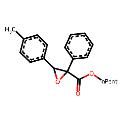 CCCCCOC(=O)C1(c2ccccc2)OC1c1ccc(C)cc1